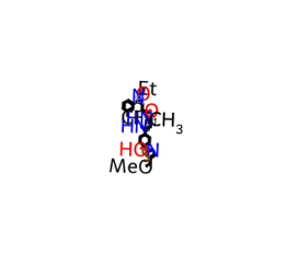 CCO/N=C(\CCC(=O)N[C@H](C)CC(=N)C1CCC(O)(c2ncc(COC)s2)CC1)c1cccc(C(F)(F)F)c1